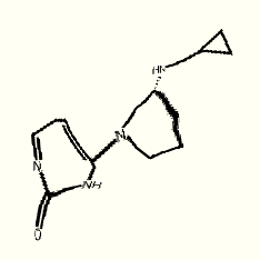 O=c1nccc(N2CCC[C@@H](NC3CC3)C2)[nH]1